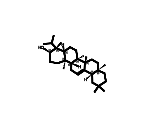 CC(C)[C@@]1(C)[C@H](O)CC[C@@]2(C)[C@H]1CC[C@]1(C)[C@@H]2CC=C2[C@@H]3CC(C)(C)CC[C@]3(C)CC[C@]21C